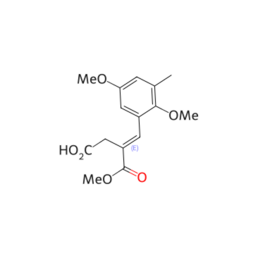 COC(=O)/C(=C/c1cc(OC)cc(C)c1OC)CC(=O)O